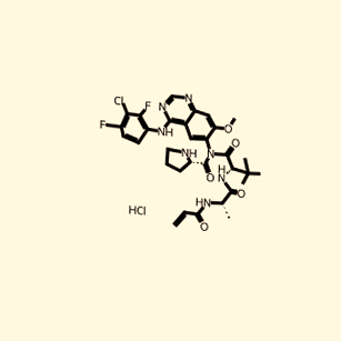 C=CC(=O)N[C@@H](C)C(=O)N[C@H](C(=O)N(C(=O)[C@@H]1CCCN1)c1cc2c(Nc3ccc(F)c(Cl)c3F)ncnc2cc1OC)C(C)(C)C.Cl